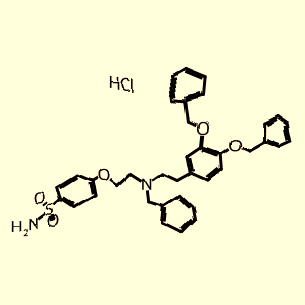 Cl.NS(=O)(=O)c1ccc(OCCN(CCc2ccc(OCc3ccccc3)c(OCc3ccccc3)c2)Cc2ccccc2)cc1